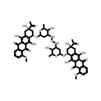 COc1cccc2c1C(=O)c1c(O)c3c(c(O)c1C2=O)C[C@@](O)(C(C)=O)C[C@@H]3OC1CC(NONC2CC(O[C@H]3C[C@](O)(C(C)=O)Cc4c(O)c5c(c(O)c43)C(=O)c3c(OC)cccc3C5=O)OC(C)C2O)C(O)C(C)O1